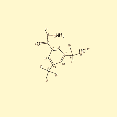 CC(N)C(=O)c1cc(C(C)(C)C)[c]c(C(C)(C)C)c1.Cl